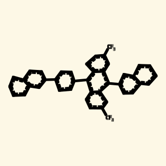 FC(F)(F)c1ccc2c(-c3ccc(-c4ccc5ccccc5c4)cc3)c3ccc(C(F)(F)F)cc3c(-c3ccc4ccccc4c3)c2c1